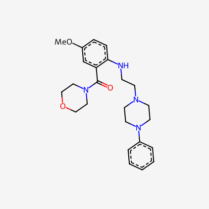 COc1ccc(NCCN2CCN(c3ccccc3)CC2)c(C(=O)N2CCOCC2)c1